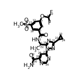 C[C@H](NC(=O)c1cc(OC(F)F)cc(S(C)(=O)=O)c1)c1nc(C2CC2)nn1-c1cc(C(N)=O)ncn1